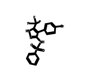 O=S(=O)(Nc1n[nH]c(C(F)(F)F)c1-c1ccc(Br)cc1)c1ccccc1